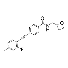 Cc1ccc(C#Cc2ccc(C(=O)NCC3CCO3)cc2)c(F)c1